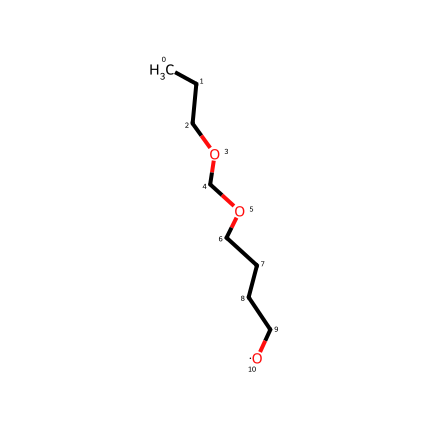 CCCOCOCCCC[O]